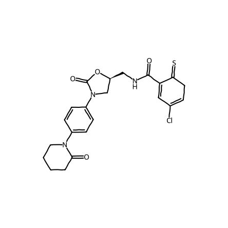 O=C(NC[C@H]1CN(c2ccc(N3CCCCC3=O)cc2)C(=O)O1)C1=CC(Cl)=CCC1=S